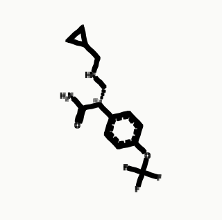 NC(=O)[C@H](CNCC1CC1)c1ccc(OC(F)(F)F)cc1